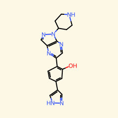 Oc1cc(-c2cn[nH]c2)ccc1-c1cnc2c(cnn2C2CCNCC2)n1